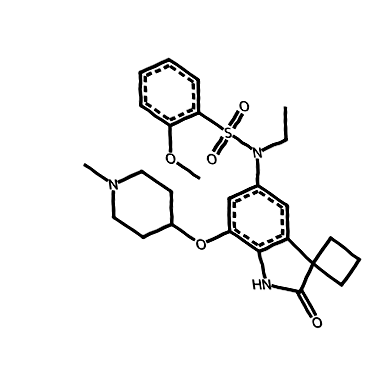 CCN(c1cc(OC2CCN(C)CC2)c2c(c1)C1(CCC1)C(=O)N2)S(=O)(=O)c1ccccc1OC